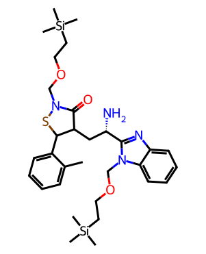 Cc1ccccc1C1SN(COCC[Si](C)(C)C)C(=O)C1C[C@H](N)c1nc2ccccc2n1COCC[Si](C)(C)C